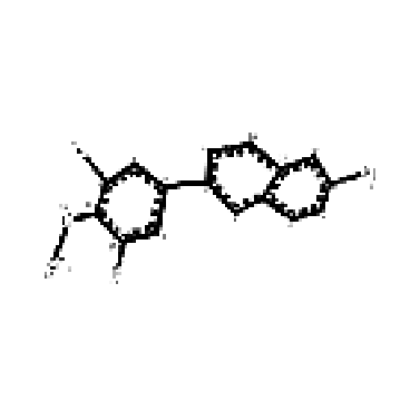 CCc1ccc2cc(-c3cc(F)c(OC(F)(F)F)c(F)c3)ccc2c1